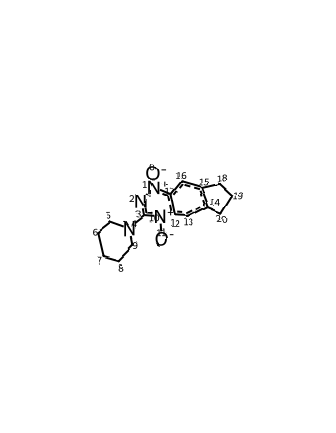 [O-][n+]1nc(N2CCCCC2)[n+]([O-])c2cc3c(cc21)CCC3